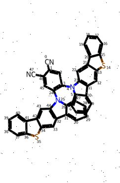 N#Cc1cc(-n2c3ccccc3c3cc4sc5ccccc5c4cc32)c(-n2c3ccccc3c3cc4sc5ccccc5c4cc32)cc1C#N